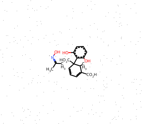 CC(C)=NO.CC1C(C(=O)O)=CC=CC1(C(=O)O)c1c(O)cccc1O